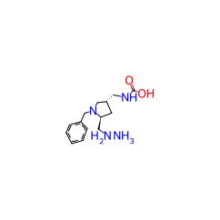 N.NC[C@@H]1C[C@@H](CNC(=O)O)CN1Cc1ccccc1